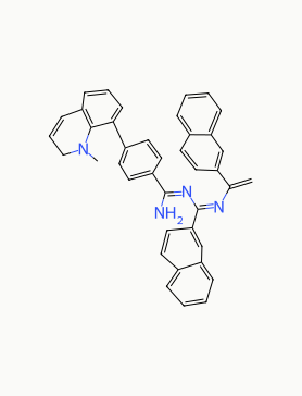 C=C(/N=C(\N=C(/N)c1ccc(-c2cccc3c2N(C)CC=C3)cc1)c1ccc2ccccc2c1)c1ccc2ccccc2c1